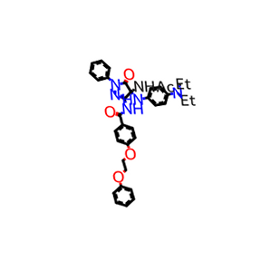 CCN(CC)c1ccc(NC2(NC(C)=O)C(=O)N(c3ccccc3)N=C2NC(=O)c2ccc(OCCOc3ccccc3)cc2)cc1